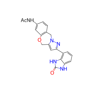 CC(=O)Nc1ccc2c(c1)OCc1cc(-c3cccc4[nH]c(=O)[nH]c34)nn1C2